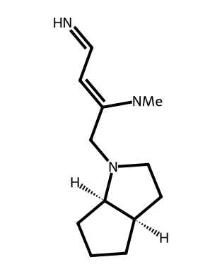 CN/C(=C\C=N)CN1CC[C@H]2CCC[C@H]21